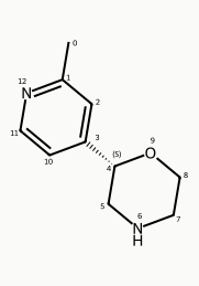 Cc1cc([C@H]2CNCCO2)ccn1